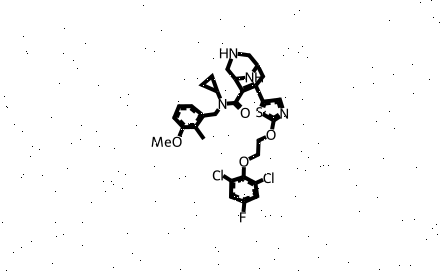 COc1cccc(CN(C(=O)C2=C(c3cnc(OCCOc4c(Cl)cc(F)cc4Cl)s3)CC3CNCC2N3)C2CC2)c1C